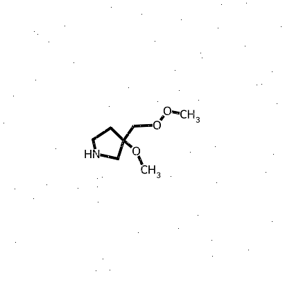 COOCC1(OC)CCNC1